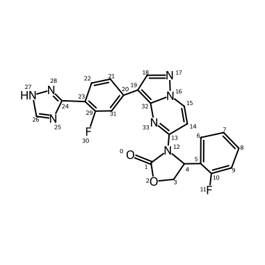 O=C1OCC(c2ccccc2F)N1c1ccn2ncc(-c3ccc(-c4nc[nH]n4)c(F)c3)c2n1